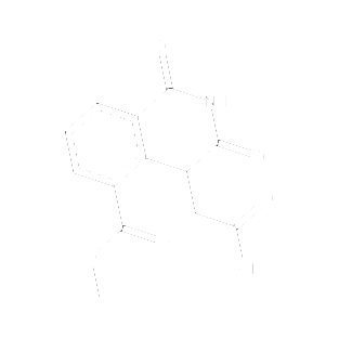 COC(=O)c1cccc2c1C(CC(=O)O)C(=O)NC2=O